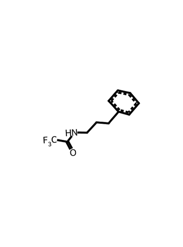 O=C(NCCCc1ccccc1)C(F)(F)F